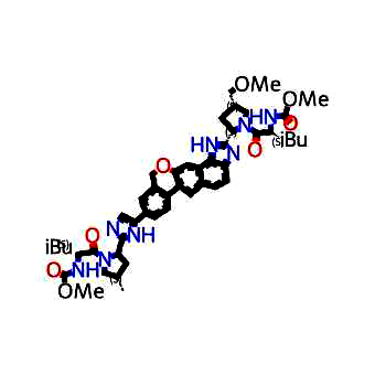 CC[C@H](C)C(NC(=O)OC)C(=O)N1C[C@@H](C)CC1c1ncc(-c2ccc3c(c2)COc2cc4c(ccc5nc([C@@H]6C[C@H](COC)CN6C(=O)C(NC(=O)OC)[C@@H](C)CC)[nH]c54)cc2-3)[nH]1